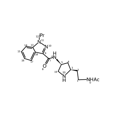 CC(=O)NCC[C@@H]1C[C@H](NC(=O)c2nn(C(C)C)c3ccccc23)CN1